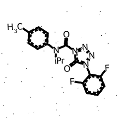 Cc1ccc(N(C(=O)n2nnn(-c3c(F)cccc3F)c2=O)C(C)C)cc1